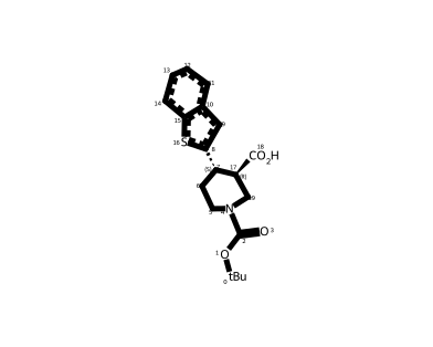 CC(C)(C)OC(=O)N1CC[C@H](c2cc3ccccc3s2)[C@@H](C(=O)O)C1